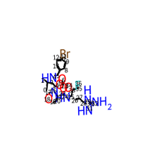 CC(C)[C@H](NC(=O)c1ccc(Br)cc1)C(=O)N1COCC[C@H]1C(=O)N[C@@H](CCCNC(=N)N)C(=O)CF